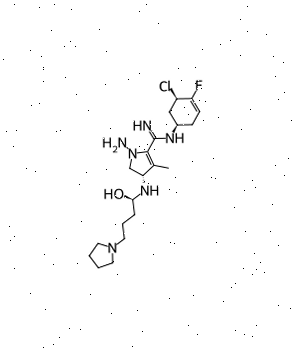 CC1=C(C(=N)N[C@@H]2CC=C(F)[C@H](Cl)C2)N(N)C[C@H]1N[C@H](O)CCCN1CCCC1